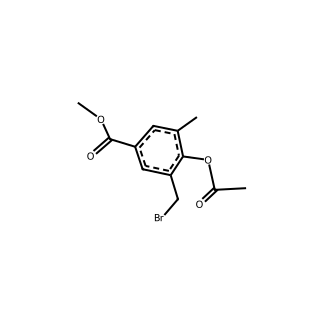 COC(=O)c1cc(C)c(OC(C)=O)c(CBr)c1